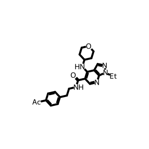 CCn1ncc2c(NC3CCOCC3)c(C(=O)NCCc3ccc(C(C)=O)cc3)cnc21